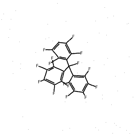 Fc1[c]c(F)c(F)c(C(F)(c2c(F)c(F)c(F)c(F)c2F)c2c(F)c(F)c(F)c(F)c2F)c1F